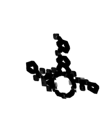 O=C(N[C@H]1CCCCCCC[C@@H]2C[C@@]2(C(=O)NS(=O)(=O)c2ccccc2)NC(=O)C2Cc3cc(Oc4cccc(Cl)c4)ccc3CN2C1=O)OC1CCCC1